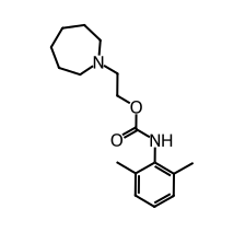 Cc1cccc(C)c1NC(=O)OCCN1CCCCCC1